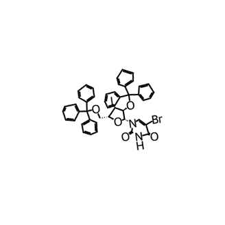 O=c1[nH]c(=O)n([C@@H]2O[C@H](COC(c3ccccc3)(c3ccccc3)c3ccccc3)[C@@H](I)[C@H]2OC(c2ccccc2)(c2ccccc2)c2ccccc2)cc1Br